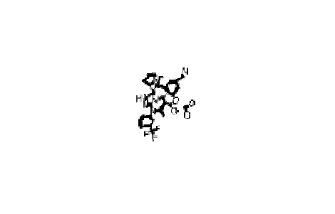 COC(=O)C1=C(C)N(c2cccc(C(F)(F)F)c2)c2n[nH]c(=O)n2[C@@H]1c1ccc(C#N)cc1C[N+]1(C)CCCC1.O=C[O-]